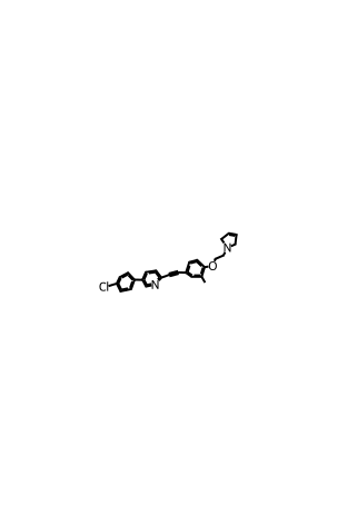 Cc1cc(C#Cc2ccc(-c3ccc(Cl)cc3)cn2)ccc1OCCN1CC=CC1